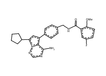 COc1ccc(F)cc1C(=O)NCc1ccc(-c2cc(C3CCCC3)n3ncnc(N)c23)cc1